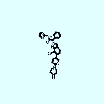 O=C(Nc1nccs1)C(c1ccccc1)n1cc2ccc(-c3ccc(N4CCNCC4)nc3)c(Cl)c2n1